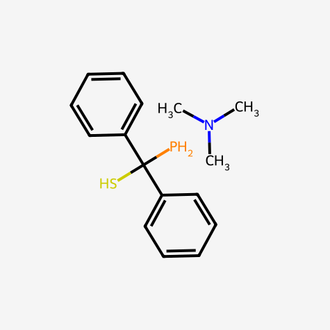 CN(C)C.PC(S)(c1ccccc1)c1ccccc1